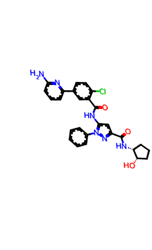 Nc1cccc(-c2ccc(Cl)c(C(=O)Nc3cc(C(=O)N[C@@H]4CCC[C@@H]4O)nn3-c3ccccc3)c2)n1